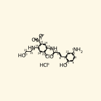 Cl.Nc1ccc(O)c(C=CC(=O)Nc2cc([N+](=O)[O-])c(NCCO)cc2Cl)c1